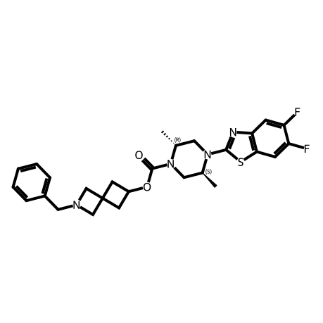 C[C@@H]1CN(c2nc3cc(F)c(F)cc3s2)[C@@H](C)CN1C(=O)OC1CC2(C1)CN(Cc1ccccc1)C2